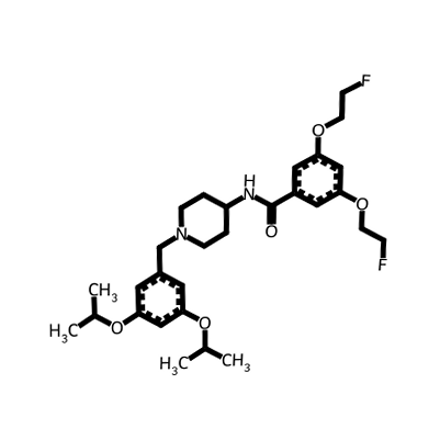 CC(C)Oc1cc(CN2CCC(NC(=O)c3cc(OCCF)cc(OCCF)c3)CC2)cc(OC(C)C)c1